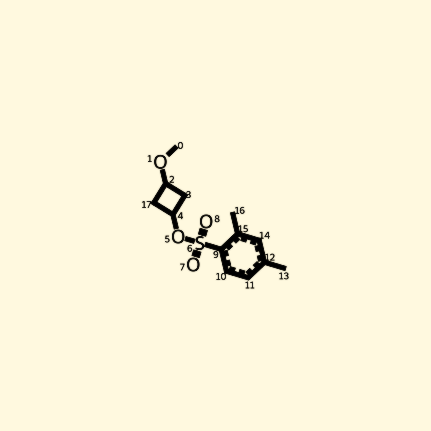 COC1CC(OS(=O)(=O)c2ccc(C)cc2C)C1